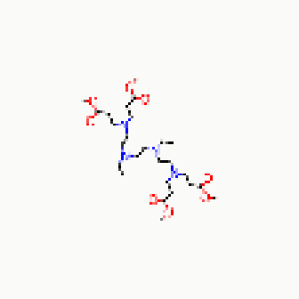 CCN(CCN(CC)CCN(CCC(=O)OC)CCC(=O)OC)CCN(CCC(=O)OC)CCC(=O)OC